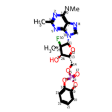 CNc1nc(C)nc2c1ncn2[C@@H]1O[C@H](COP2(=O)Oc3ccccc3O2)[C@@H](O)[C@@]1(C)F